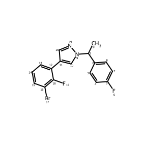 CC(c1ccc(F)cc1)n1cc(-c2cccc(Br)c2F)cn1